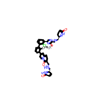 COc1nc(-c2cccc(-c3cccc(-c4ccn5c(=O)c(CNC[C@@H]6CCC(=O)N6)ccc5c4)c3C)c2Cl)cnc1CNC[C@H]1CCC(=O)N1